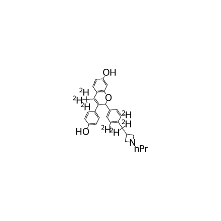 [2H]c1cc(C2Oc3cc(O)ccc3C(C([2H])([2H])[2H])=C2c2ccc(O)cc2)cc([2H])c1C([2H])([2H])C1CN(CCC)C1